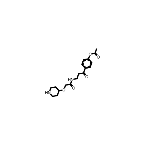 CC(=O)Oc1ccc(C(=O)CCNC(=O)COC2CCNCC2)cc1